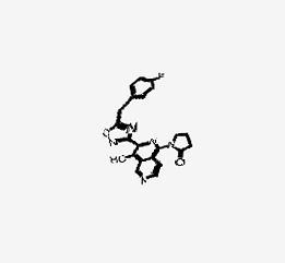 O=C1CCCN1c1nc(-c2noc(Cc3ccc(F)cc3)n2)c(O)c2cnccc12